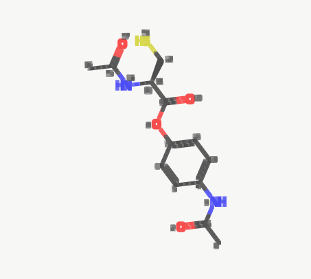 CC(=O)Nc1ccc(OC(=O)[C@H](CS)NC(C)=O)cc1